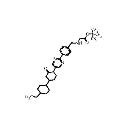 CCC1CCC(C2CCC(c3cnc(-c4ccc(CNCC(=O)OC(C)(C)C)cc4)nc3)C(=O)C2)CC1